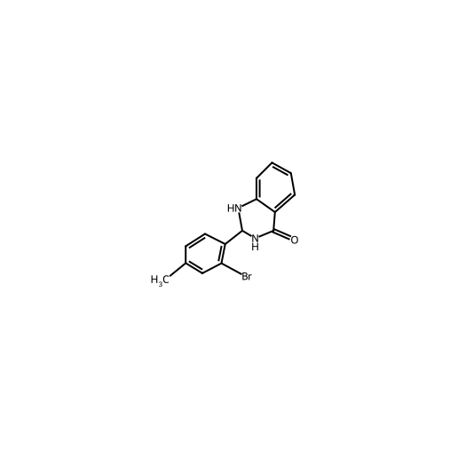 Cc1ccc(C2NC(=O)c3ccccc3N2)c(Br)c1